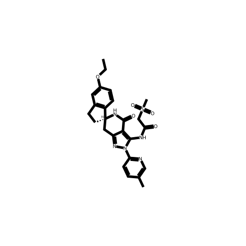 CCOc1ccc2c(c1)CC[C@]21Cc2nn(-c3ccc(C)cn3)c(NC(=O)CS(C)(=O)=O)c2C(=O)N1